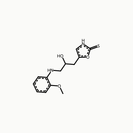 COc1ccccc1NCC(O)Cc1c[nH]c(=S)o1